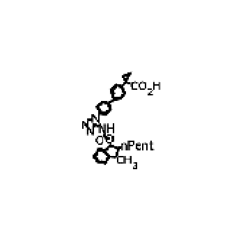 CCCCCC1C(C)c2ccccc2[C@@H]1OC(=O)Nc1nncn1-c1ccc(-c2ccc(C3(C(=O)O)CC3)cc2)cc1